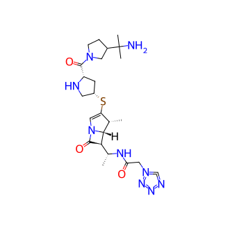 C[C@@H](NC(=O)Cn1cnnn1)[C@H]1C(=O)N2C=C(S[C@@H]3CN[C@H](C(=O)N4CCC(C(C)(C)N)C4)C3)[C@H](C)[C@H]12